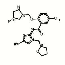 CC(C)(C)c1cn(C[C@H]2CCCO2)c(=NC(=O)c2cc(C(F)(F)F)ccc2OC[C@@H]2C[C@H](F)CN2)s1